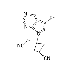 N#CC[C@]1(n2cc(Br)c3cncnc32)C[C@@H](C#N)C1